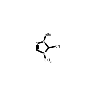 CCCCN1N=CN(C(Cl)(Cl)Cl)C1C#N